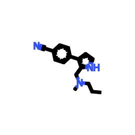 CCCN(C)Cc1[nH]ccc1-c1ccc(C#N)cc1